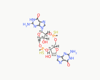 C=P1(S)OC[C@H]2O[C@@H](n3cnc4c(=O)[nH]c(N)nc43)[C@H](OP(=C)(S)OC[C@@H]3O[C@H](n4cnc5c(=O)[nH]c(N)nc54)[C@H](O)[C@H]3O1)[C@@H]2O